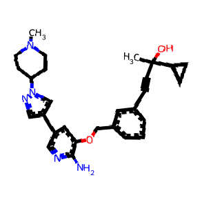 CN1CCC(n2cc(-c3cnc(N)c(OCc4cccc(C#CC(C)(O)C5CC5)c4)c3)cn2)CC1